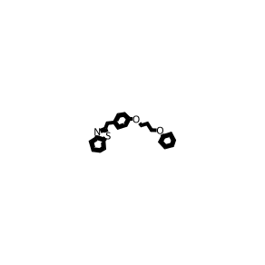 c1ccc(OCCCOc2ccc(Cc3nc4ccccc4s3)cc2)cc1